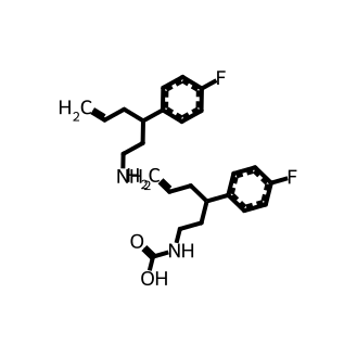 C=CCC(CCN)c1ccc(F)cc1.C=CCC(CCNC(=O)O)c1ccc(F)cc1